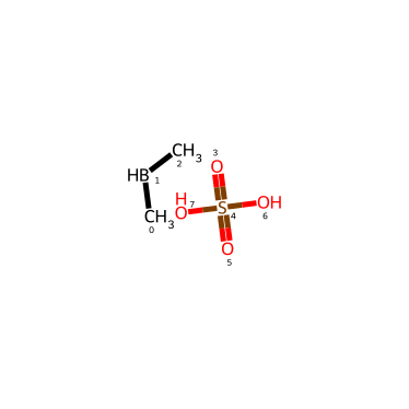 CBC.O=S(=O)(O)O